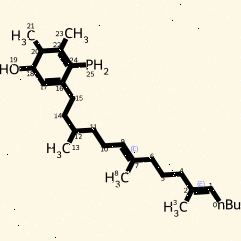 CCCC/C=C(\C)CCC/C(C)=C/CCC(C)CCC1=CC(O)C(C)C(C)=C1P